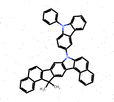 CC1(C)c2cc3c4c5ccccc5ccc4n(-c4ccc5c(c4)c4ccccc4n5-c4ccccc4)c3cc2-c2ccc3ccccc3c21